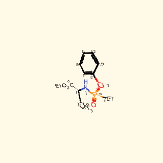 CCOC(=O)[C@@H](C)N[P@](=O)(CC)Oc1ccccc1